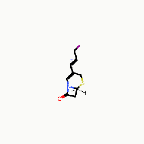 O=C1C[C@@H]2SCC(/C=C/CI)=CN12